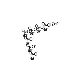 O=[PH]([O-])[O-].O=[PH]([O-])[O-].O=[PH]([O-])[O-].O=[PH]([O-])[O-].O=[PH]([O-])[O-].O=[PH]([O-])[O-].O=[PH]([O-])[O-].[Tc+7].[Tc+7]